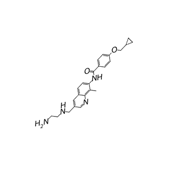 Cc1c(NC(=O)c2ccc(OCC3CC3)cc2)ccc2cc(CNCCN)cnc12